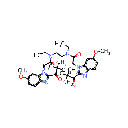 CCN(CCN(CC)C(=O)Cn1c(C(=O)C(C)(C)C)nc2ccc(OC)cc21)C(=O)Cn1c(C(=O)C(C)(C)C)nc2ccc(OC)cc21